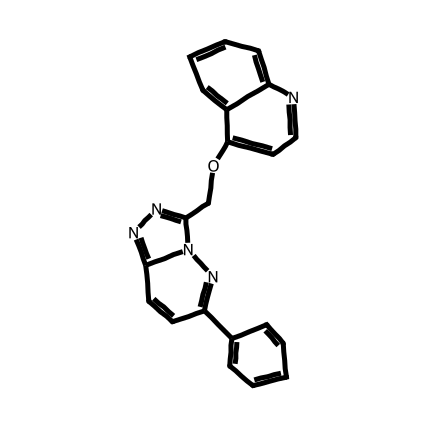 c1ccc(-c2ccc3nnc(COc4ccnc5ccccc45)n3n2)cc1